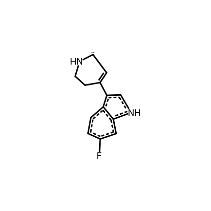 Fc1ccc2c(C3=C[C]NCC3)c[nH]c2c1